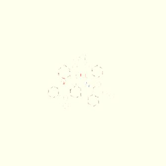 O=C(c1ccccc1OCl)c1cccc(N(C(=O)c2ccccc2OCl)C(=O)c2ccccc2OCl)c1C(=O)c1ccccc1OCl